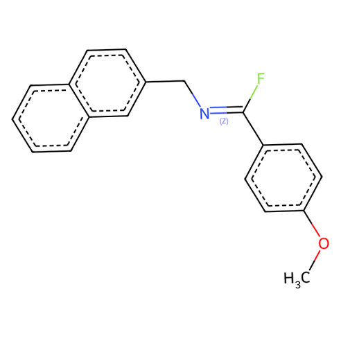 COc1ccc(/C(F)=N/Cc2ccc3ccccc3c2)cc1